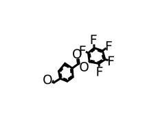 O=Cc1ccc(C(=O)Oc2c(F)c(F)c(F)c(F)c2F)cc1